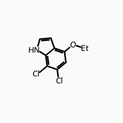 CCOc1cc(Cl)c(Cl)c2[nH]ccc12